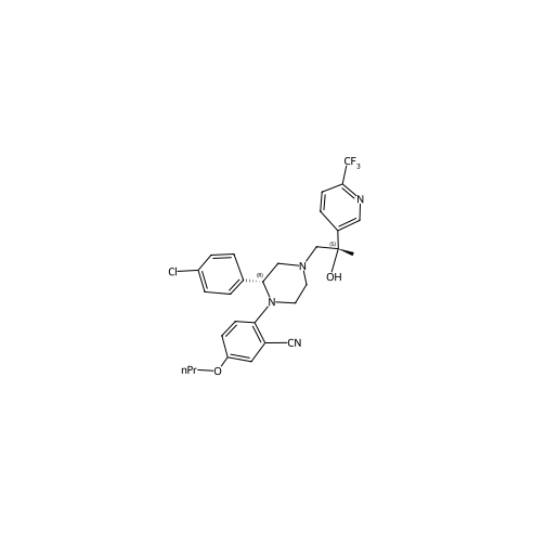 CCCOc1ccc(N2CCN(C[C@@](C)(O)c3ccc(C(F)(F)F)nc3)C[C@H]2c2ccc(Cl)cc2)c(C#N)c1